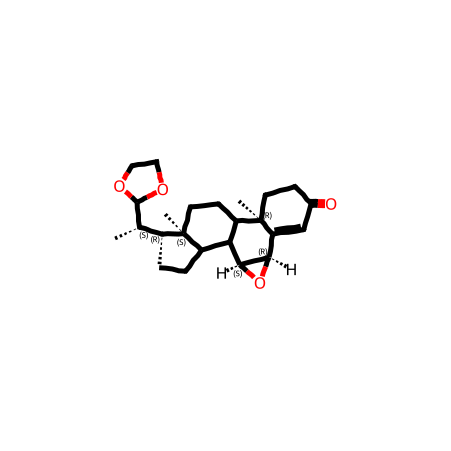 C[C@H](C1OCCO1)[C@H]1CCC2C3C(CC[C@@]21C)[C@@]1(C)CCC(=O)C=C1[C@H]1O[C@@H]31